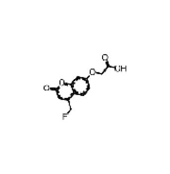 O=C(O)COc1ccc2c(CF)cc(=O)oc2c1